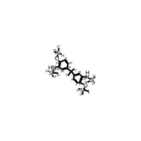 CC(C)(c1ccc(O[Si](C)(C)C)c(N[Si](C)(C)C)c1)c1ccc(O[Si](C)(C)C)c(N[Si](C)(C)C)c1